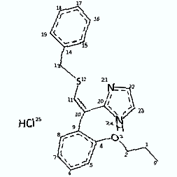 CCCOc1ccccc1C(=CSCc1ccccc1)c1ncc[nH]1.Cl